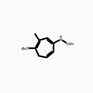 CONC1=CC(C)=C(OCC(C)C)CC=C1